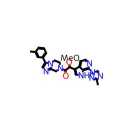 COc1cnc(-n2cnc(C)n2)c2[nH]cc(C(=O)C(=O)N3CCn4c(-c5cccc(C)c5)cnc4C3)c12